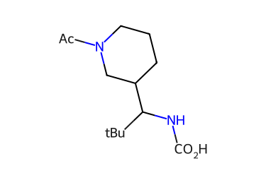 CC(=O)N1CCCC(C(NC(=O)O)C(C)(C)C)C1